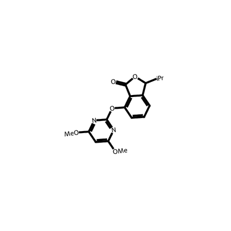 COc1cc(OC)nc(Oc2cccc3c2C(=O)OC3C(C)C)n1